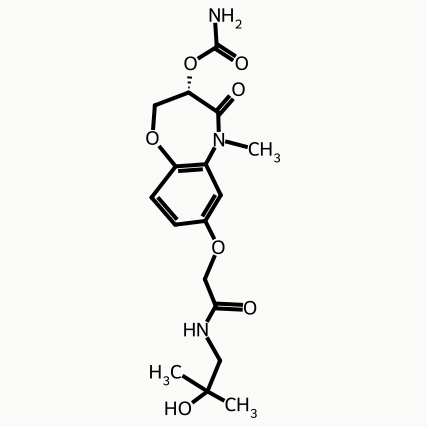 CN1C(=O)[C@@H](OC(N)=O)COc2ccc(OCC(=O)NCC(C)(C)O)cc21